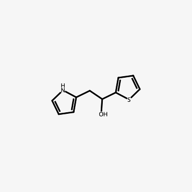 OC(Cc1ccc[nH]1)c1cccs1